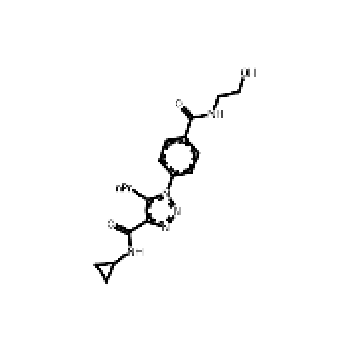 CCCc1c(C(=O)NC2CC2)nnn1-c1ccc(C(=O)NCCO)cc1